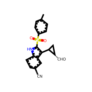 Cc1ccc(S(=O)(=O)c2[nH]c3ccc(C#N)cc3c2C2C[C@@H]2C=O)cc1